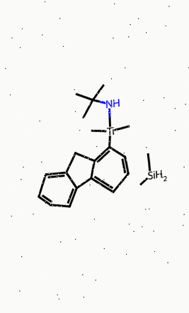 CC(C)(C)[NH][Ti]([CH3])([CH3])[c]1cccc2c1Cc1ccccc1-2.C[SiH2]C